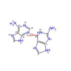 Nc1nc2[nH]cnc2c(=O)[nH]1.Nc1ncnc2[nH]cnc12